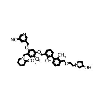 Cc1c(COCCN2CCC(O)C2)cccc1-c1cccc(COc2cc(OCc3cncc(C#N)c3)c(CN3CCCCC3C(=O)O)cc2Cl)c1C